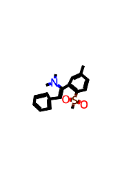 Cc1ccc(S(C)(=O)=O)c(C(=Cc2ccccc2)N(C)C)c1